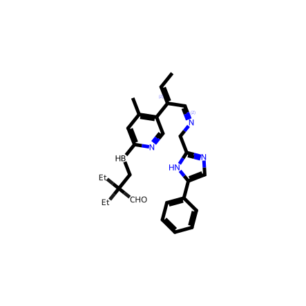 C/C=C(\C=N/Cc1ncc(-c2ccccc2)[nH]1)c1cnc(BCC(C=O)(CC)CC)cc1C